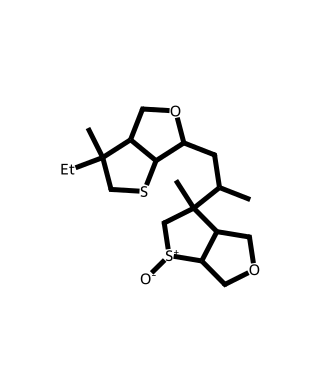 CCC1(C)CSC2C(CC(C)C3(C)C[S+]([O-])C4COCC43)OCC21